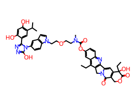 CCc1c2c(nc3ccc(OC(=O)N(C)CCOCCn4ccc5cc(-n6c(O)nnc6-c6cc(C(C)C)c(O)cc6O)ccc54)cc13)-c1cc3c(c(=O)n1C2)COC(=O)C3(O)CC